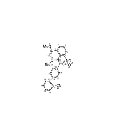 COC(=O)c1cccc([N+](=O)[O-])c1N(OC(C)(C)C)C(=C=O)c1ccc(-c2ccccc2C#N)cc1